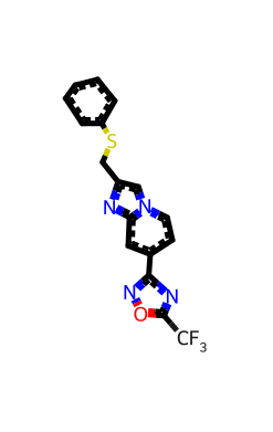 FC(F)(F)c1nc(-c2ccn3cc(CSc4ccccc4)nc3c2)no1